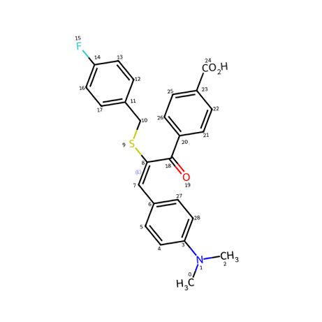 CN(C)c1ccc(/C=C(/SCc2ccc(F)cc2)C(=O)c2ccc(C(=O)O)cc2)cc1